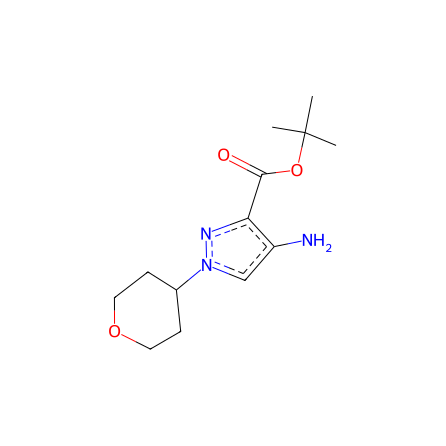 CC(C)(C)OC(=O)c1nn(C2CCOCC2)cc1N